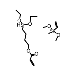 C=CC(=O)OCCCC[SiH](OCC)OCC.C=C[Si](C)(OC)OC